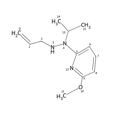 C=CCNN(c1cccc(OC)n1)C(C)C